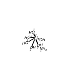 N.[OH][Pt]([OH])([OH])([OH])([OH])[OH]